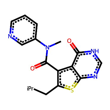 CC(C)Cc1sc2nc[nH]c(=O)c2c1C(=O)N(C)c1cccnc1